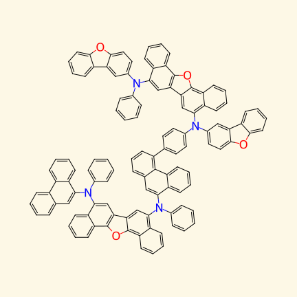 c1ccc(N(c2ccc3oc4ccccc4c3c2)c2cc3c4cc(N(c5ccc(-c6cccc7cc(N(c8ccccc8)c8cc9c%10cc(N(c%11ccccc%11)c%11cc%12ccccc%12c%12ccccc%11%12)c%11ccccc%11c%10oc9c9ccccc89)c8ccccc8c67)cc5)c5ccc6oc7ccccc7c6c5)c5ccccc5c4oc3c3ccccc23)cc1